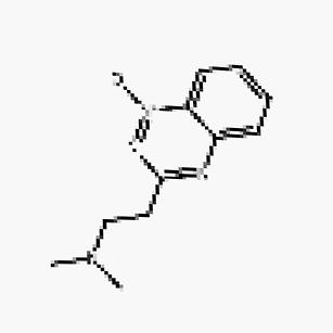 CN(C)CCc1nc2ccccc2[n+]([O-])n1